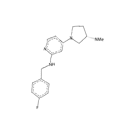 CN[C@H]1CCN(c2ccnc(NCc3ccc(F)cc3)c2)C1